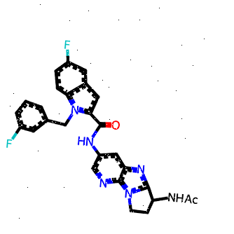 CC(=O)NC1CCn2c1nc1cc(NC(=O)c3cc4cc(F)ccc4n3Cc3cccc(F)c3)cnc12